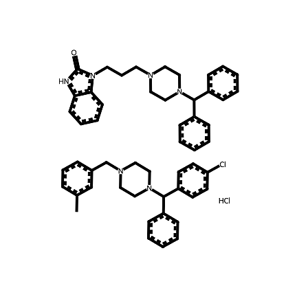 Cc1cccc(CN2CCN(C(c3ccccc3)c3ccc(Cl)cc3)CC2)c1.Cl.O=c1[nH]c2ccccc2n1CCCN1CCN(C(c2ccccc2)c2ccccc2)CC1